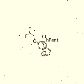 CCCCCCl.FC(F)COc1cc2nc3ccc2cc13